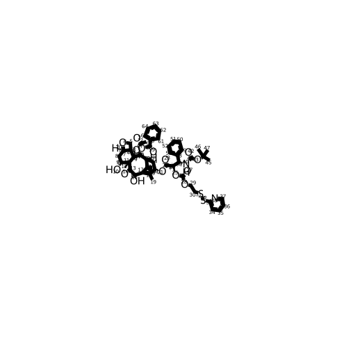 CC(=O)O[C@@]12CO[C@@H]1C[C@H](O)[C@@]1(C)C(=O)[C@H](O)C3=C(C)[C@@H](OC(=O)[C@H](OC(=O)OCCSSc4ccccn4)[C@@H](NC(=O)OC(C)(C)C)c4ccccc4)C[C@@H]([C@@H](OC(=O)c4ccccc4)[C@H]21)C3(C)C